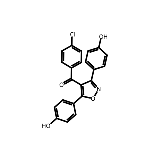 O=C(c1ccc(Cl)cc1)c1c(-c2ccc(O)cc2)noc1-c1ccc(O)cc1